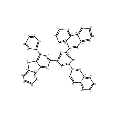 c1ccc(-c2nc(-c3cc(-c4ccc5nccnc5c4)cc(-c4cc5ccccc5c5ccccc45)c3)nc3c2sc2ccccc23)cc1